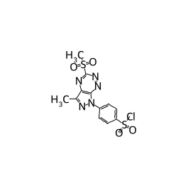 Cc1nn(-c2ccc(S(=O)(=O)Cl)cc2)c2nnc(S(C)(=O)=O)nc12